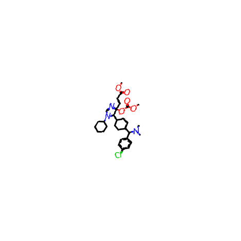 COC(=O)CCC1(OC(=O)OC)N=CN(C2CCCCC2)C1C1CCC(C(c2ccc(Cl)cc2)N(C)C)CC1